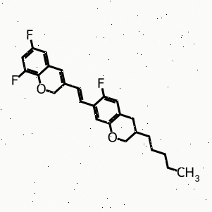 CCCCCC1COc2cc(C=CC3=Cc4cc(F)cc(F)c4OC3)c(F)cc2C1